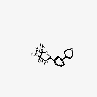 CC1(C)OB(c2cccc(C3=CCOCC3)c2)OC1(C)C